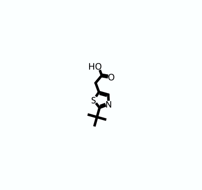 CC(C)(C)c1ncc(CC(=O)O)s1